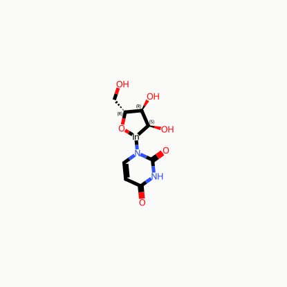 O=c1cc[n]([In]2[O][C@H](CO)[C@@H](O)[C@H]2O)c(=O)[nH]1